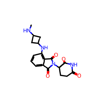 CNC1CC(Nc2cccc3c2C(=O)N(C2CCC(=O)NC2=O)C3=O)C1